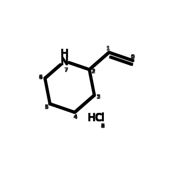 C=CC1CCCCN1.Cl